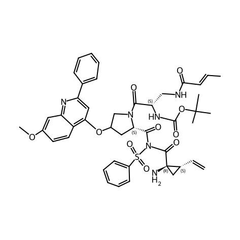 C=C[C@@H]1C[C@]1(N)C(=O)N(C(=O)[C@@H]1CC(Oc2cc(-c3ccccc3)nc3cc(OC)ccc23)CN1C(=O)[C@H](CNC(=O)C=CC)NC(=O)OC(C)(C)C)S(=O)(=O)c1ccccc1